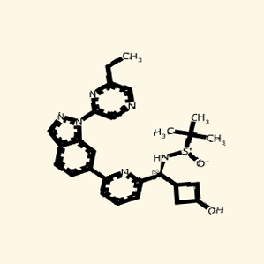 CCc1cncc(-n2ncc3ccc(-c4cccc([C@@H](N[S+]([O-])C(C)(C)C)C5CC(O)C5)n4)cc32)n1